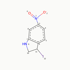 O=[N+]([O-])c1ccc2c(c1)NCC2I